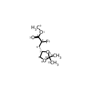 COC(=O)C(F)C[C@H]1COC(C)(C)O1